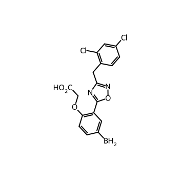 Bc1ccc(OCC(=O)O)c(-c2nc(Cc3ccc(Cl)cc3Cl)no2)c1